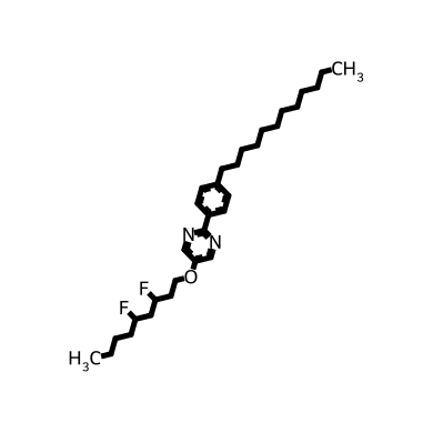 CCCCCCCCCCCCc1ccc(-c2ncc(OCCC(F)CC(F)CCCC)cn2)cc1